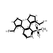 CS(=O)(=O)c1nccc(C2=C(CF)CCC2)c1C1=C(CF)CCC1